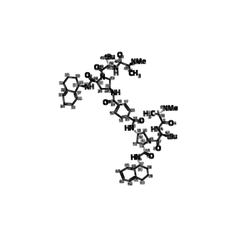 CN[C@@H](C)C(=O)N[C@H](C(=O)N1C[C@@H](NC(=O)c2ccc(C(=O)N[C@H]3C[C@@H](C(=O)N[C@@H]4CCCc5ccccc54)N(C(=O)[C@@H](NC(=O)[C@H](C)NC)C(C)(C)C)C3)cc2)C[C@H]1C(=O)N[C@@H]1CCCc2ccccc21)C(C)(C)C